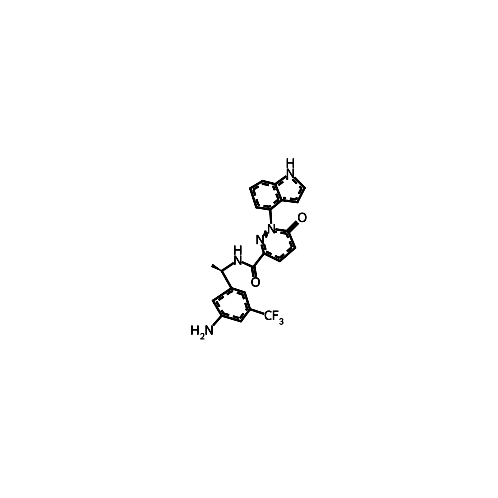 C[C@@H](NC(=O)c1ccc(=O)n(-c2cccc3[nH]ccc23)n1)c1cc(N)cc(C(F)(F)F)c1